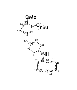 CCCCOc1cc(CN2CCC(Nc3ccnc4ccccc34)CC2)ccc1OC